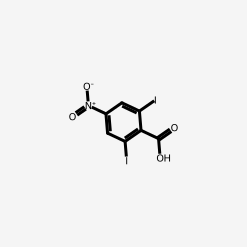 O=C(O)c1c(I)cc([N+](=O)[O-])cc1I